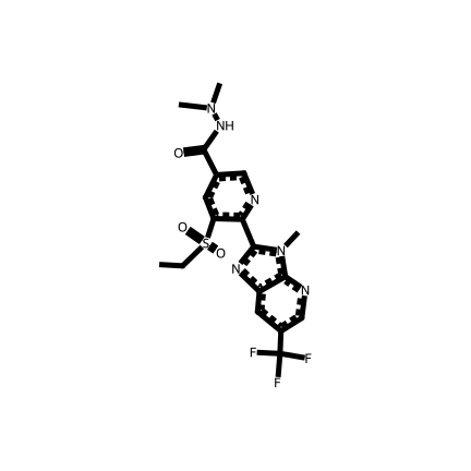 CCS(=O)(=O)c1cc(C(=O)NN(C)C)cnc1-c1nc2cc(C(F)(F)F)cnc2n1C